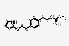 N=C(N)SCCc1ccc(CCSc2ncc[nH]2)cc1